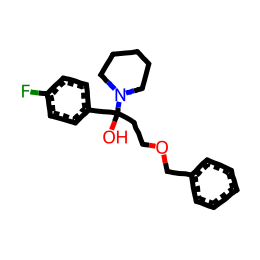 OC(CCOCc1ccccc1)(c1ccc(F)cc1)N1CCCCC1